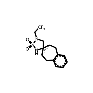 O=S1(=O)NC2(CN1CC(F)(F)F)C1CCC2Cc2ccccc2C1